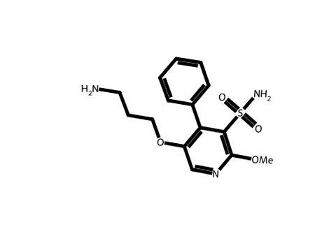 COc1ncc(OCCCN)c(-c2ccccc2)c1S(N)(=O)=O